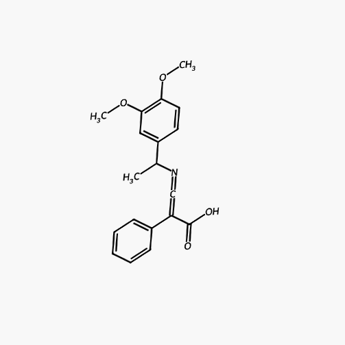 COc1ccc(C(C)N=C=C(C(=O)O)c2ccccc2)cc1OC